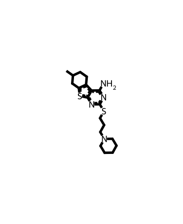 CC1CCc2c(sc3nc(SCCCN4CCCCC4)nc(N)c23)C1